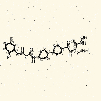 NC[C@H](NC(=O)c1ccc(-c2ccc(NC(=O)CNCc3cc(F)ccc3F)cc2)cc1)C(=O)NO